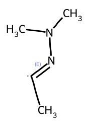 C/[C]=N/N(C)C